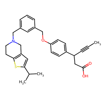 CC#CC(CC(=O)O)c1ccc(OCc2cccc(CN3CCc4sc(C(C)C)cc4C3)c2)cc1